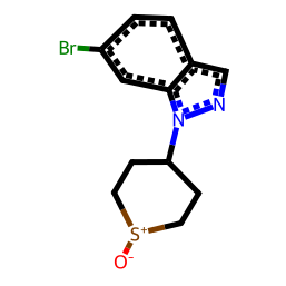 [O-][S+]1CCC(n2ncc3ccc(Br)cc32)CC1